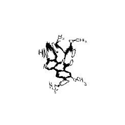 COC(=O)[C@H](C(C)C)n1c(=O)c2cc(OC)c(OC)cc2c2cnc3[nH]ccc3c21